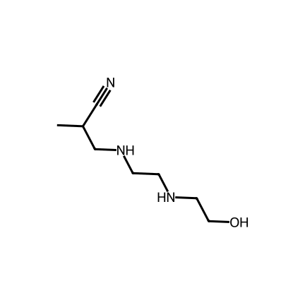 CC(C#N)CNCCNCCO